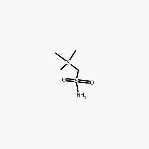 C[Si](C)(C)CS(N)(=O)=O